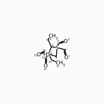 CCC1S(C=O)(C=O)C[SH]1(C=O)(C=O)CC